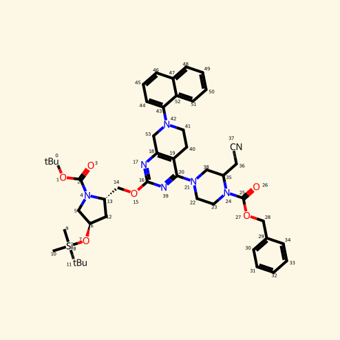 CC(C)(C)OC(=O)N1C[C@H](O[Si](C)(C)C(C)(C)C)C[C@H]1COc1nc2c(c(N3CCN(C(=O)OCc4ccccc4)C(CC#N)C3)n1)CCN(c1cccc3ccccc13)C2